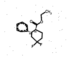 CCOC(=O)[C@H]1CCC(F)(F)C[C@@H]1c1ccccc1